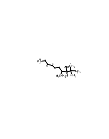 CC(N)(N)C(N)(N)C(N)CCCCCN